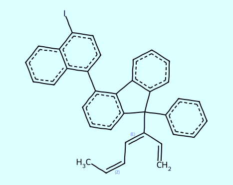 C=C/C(=C\C=C/C)C1(c2ccccc2)c2ccccc2-c2c(-c3ccc(I)c4ccccc34)cccc21